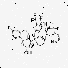 CCC[C@H]1N(C(=O)c2ncccc2C(F)(F)F)CCC[C@@]1(Oc1csc(C(F)(F)F)c1)C(=O)N1CCc2cc(F)ccc2C1OC(=O)O